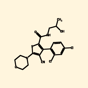 CC(O)CNC(=O)c1sc(N2CCOCC2)c(C#N)c1-c1ccc(Cl)cc1Cl